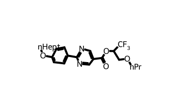 CCCCCCCOc1ccc(-c2ncc(C(=O)OC(COCCC)C(F)(F)F)cn2)cc1